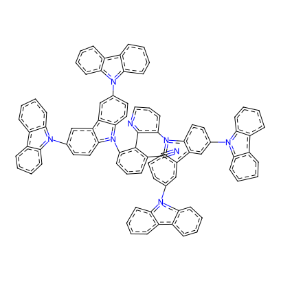 N#Cc1cccc(-n2c3ccc(-n4c5ccccc5c5ccccc54)cc3c3cc(-n4c5ccccc5c5ccccc54)ccc32)c1-c1ncccc1-n1c2ccc(-n3c4ccccc4c4ccccc43)cc2c2cc(-n3c4ccccc4c4ccccc43)ccc21